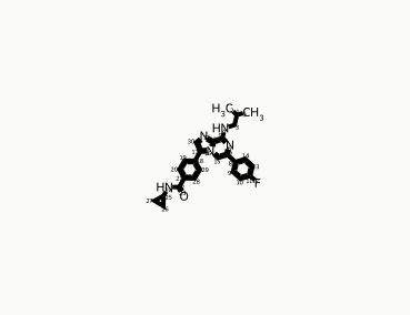 CC(C)CNc1nc(-c2ccc(F)cc2)cn2c(-c3ccc(C(=O)NC4CC4)cc3)cnc12